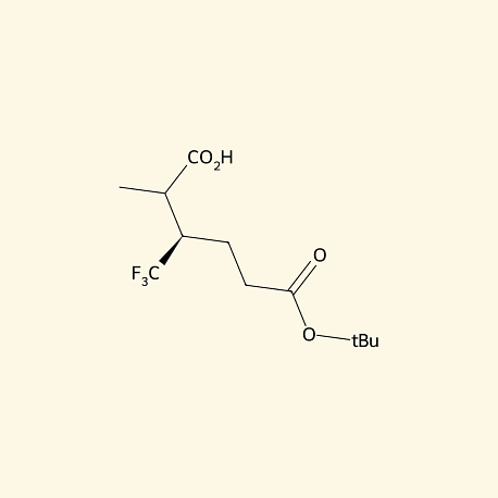 CC(C(=O)O)[C@@H](CCC(=O)OC(C)(C)C)C(F)(F)F